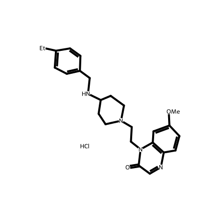 CCc1ccc(CNC2CCN(CCn3c(=O)cnc4ccc(OC)cc43)CC2)cc1.Cl